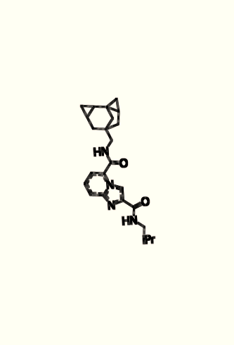 CC(C)CNC(=O)c1cn2c(C(=O)NCC34CC5CC5C5(CC5C3)C4)cccc2n1